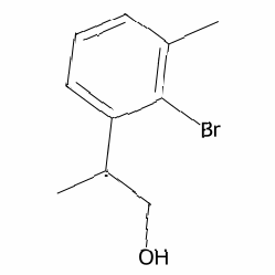 C[C](CO)c1cccc(C)c1Br